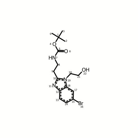 CC(C)(C)OC(=O)NCCc1nc2ccc(Br)cc2n1CCO